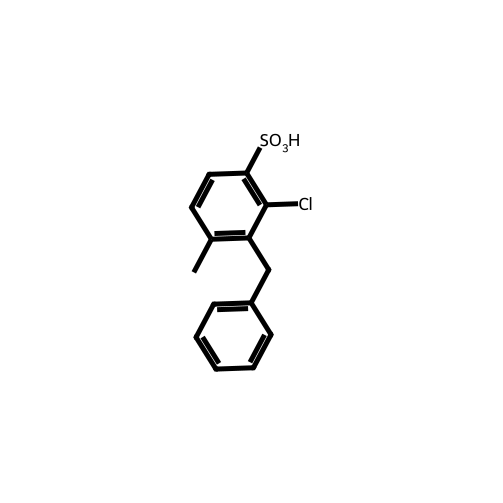 Cc1ccc(S(=O)(=O)O)c(Cl)c1Cc1ccccc1